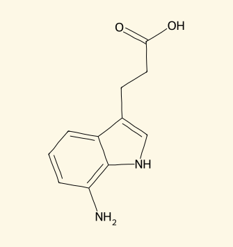 Nc1cccc2c(CCC(=O)O)c[nH]c12